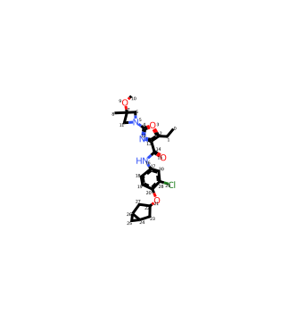 CCc1oc(N2CC(C)(OC)C2)nc1C(=O)Nc1ccc(OC2CC3CC3C2)c(Cl)c1